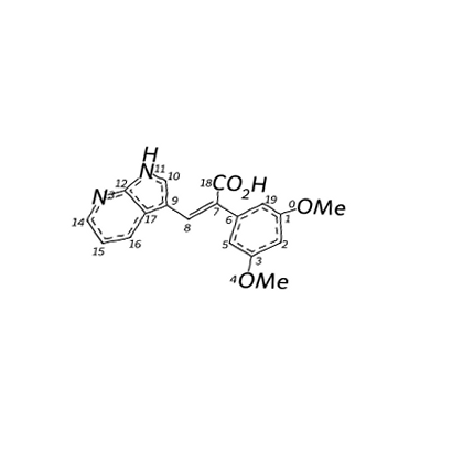 COc1cc(OC)cc(/C(=C/c2c[nH]c3ncccc23)C(=O)O)c1